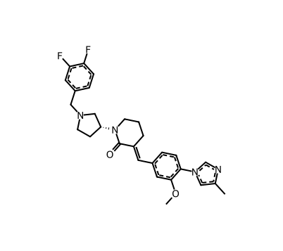 COc1cc(C=C2CCCN([C@@H]3CCN(Cc4ccc(F)c(F)c4)C3)C2=O)ccc1-n1cnc(C)c1